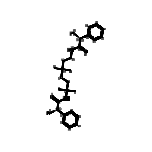 CC(C)[C@H](C(=O)NC(C)(C)COC(C)(C)CCNC(=O)[C@@H](c1ccccc1)C(C)C)c1ccccc1